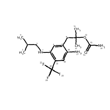 CC(C)CNc1cc(CC(C)(C)OC(N)=O)c(N)cc1C(F)(F)F